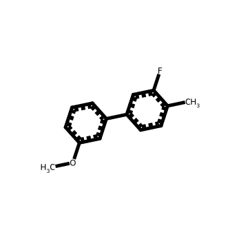 COc1cccc(-c2ccc(C)c(F)c2)c1